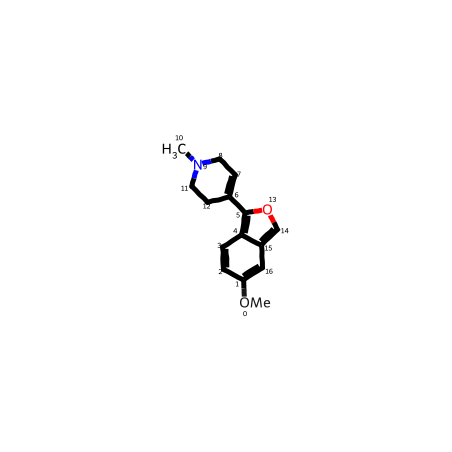 COc1ccc2c(C3=CCN(C)CC3)occ2c1